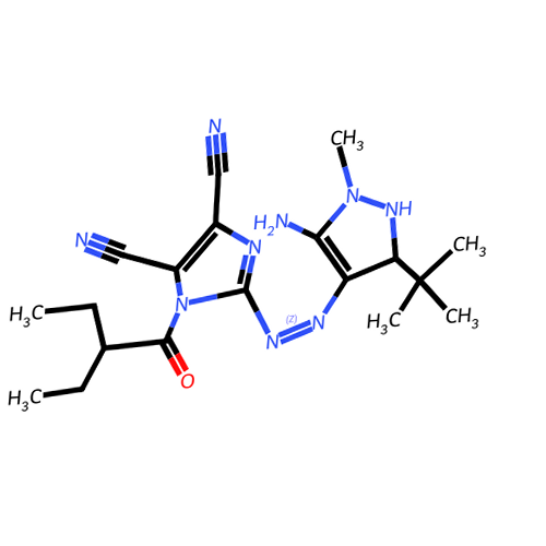 CCC(CC)C(=O)n1c(/N=N\C2=C(N)N(C)NC2C(C)(C)C)nc(C#N)c1C#N